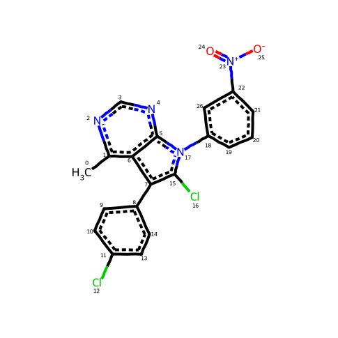 Cc1ncnc2c1c(-c1ccc(Cl)cc1)c(Cl)n2-c1cccc([N+](=O)[O-])c1